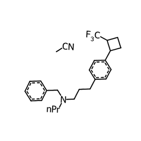 CC#N.CCCN(CCCc1ccc(C2CCC2C(F)(F)F)cc1)Cc1ccccc1